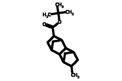 CC1CC2CC1C1C3CC(C(=O)OC(C)(C)C)C(C3)C21